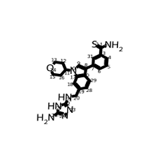 NC(=S)c1cccc(-c2cn(C3CCOCC3)c3cc(CNc4nnc(N)[nH]4)ccc23)c1